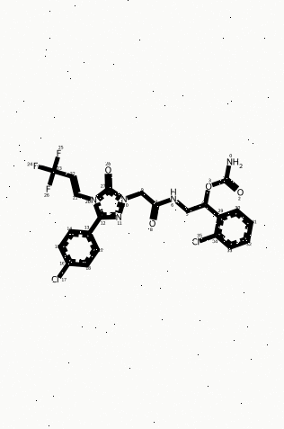 NC(=O)OC(CNC(=O)Cn1nc(-c2ccc(Cl)cc2)n(/C=C/C(F)(F)F)c1=O)c1ccccc1Cl